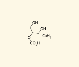 O=C(O)OC(CO)CO.[CaH2]